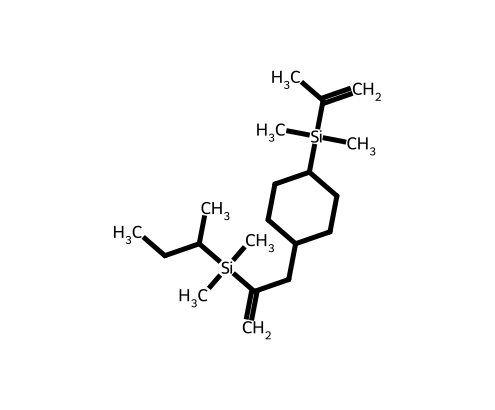 C=C(CC1CCC([Si](C)(C)C(=C)C)CC1)[Si](C)(C)C(C)CC